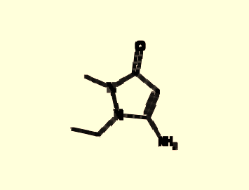 CCn1c(N)cc(=O)n1C